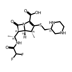 C[C@@H](NC(=O)C(F)F)[C@H]1C(=O)N2C(C(=O)O)=C(SC[C@@H]3CNCCN3)[C@H](C)[C@H]12